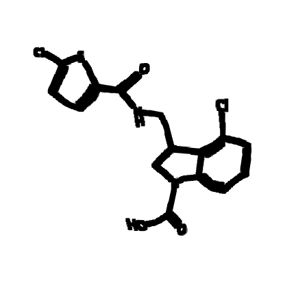 O=C(NCC1CN(C(=O)O)c2cccc(Cl)c21)c1ccc(Cl)s1